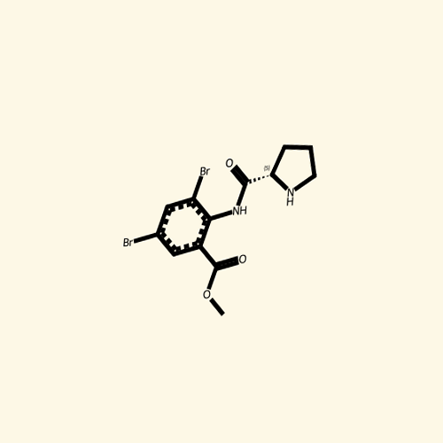 COC(=O)c1cc(Br)cc(Br)c1NC(=O)[C@@H]1CCCN1